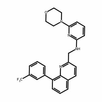 FC(F)(F)c1cccc(-c2cccc3ccc(CNc4cccc(N5CCOCC5)n4)nc23)c1